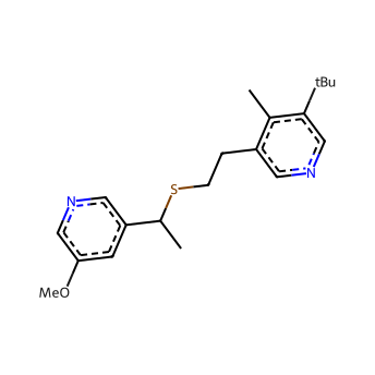 COc1cncc(C(C)SCCc2cncc(C(C)(C)C)c2C)c1